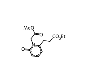 CCOC(=O)CCc1cccc(=O)n1CC(=O)OC